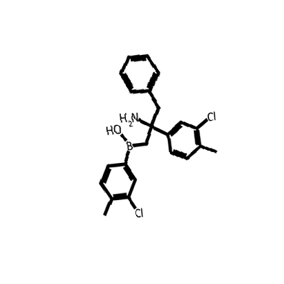 Cc1ccc(B(O)CC(N)(Cc2ccccc2)c2ccc(C)c(Cl)c2)cc1Cl